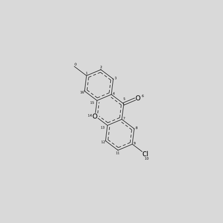 Cc1ccc2c(=O)c3cc(Cl)ccc3oc2c1